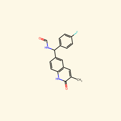 Cc1cc2cc(C(NC=O)c3ccc(F)cc3)ccc2[nH]c1=O